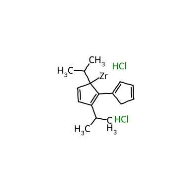 CC(C)C1=C(C2=CC=CC2)[C]([Zr])(C(C)C)C=C1.Cl.Cl